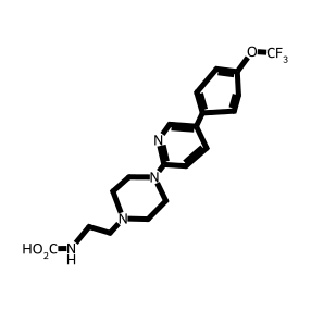 O=C(O)NCCN1CCN(c2ccc(-c3ccc(OC(F)(F)F)cc3)cn2)CC1